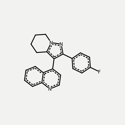 Fc1ccc(-c2nn3c(c2-c2ccnc4ccccc24)CCCC3)cc1